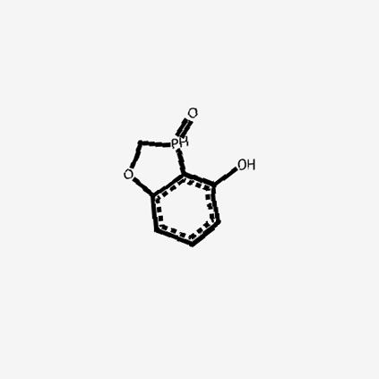 O=[PH]1COc2cccc(O)c21